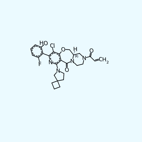 C=CC(=O)N1CCN2C(=O)c3c(N4CCC5(CCC5)C4)nc(-c4c(O)cccc4F)c(Cl)c3OC[C@H]2C1